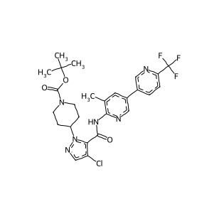 Cc1cc(-c2ccc(C(F)(F)F)nc2)cnc1NC(=O)c1c(Cl)cnn1C1CCN(C(=O)OC(C)(C)C)CC1